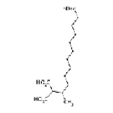 CCCCCCCCCCCCCCCCCCCC(C)C(C(=O)O)C(=O)O